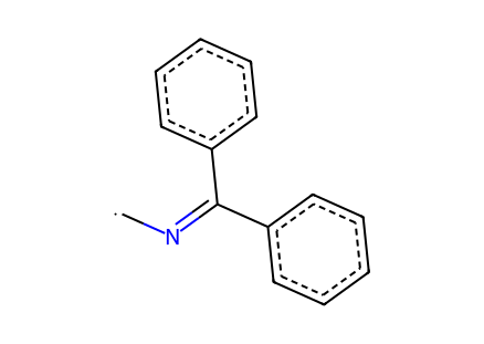 [CH2]N=C(c1ccccc1)c1ccccc1